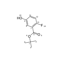 CC(C)(C)OC(=O)c1cc(O)ccc1F